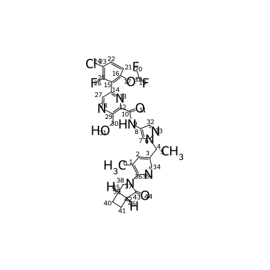 Cc1cc([C@@H](C)n2cc(NC(=O)c3nc(-c4c(OC(F)F)ccc(Cl)c4F)cnc3CO)cn2)cnc1N1C[C@H]2CC[C@H]2C1=O